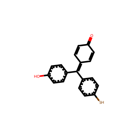 O=C1C=CC(=C(c2ccc(O)cc2)c2ccc(S)cc2)C=C1